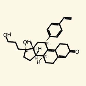 C=Cc1ccc([C@H]2C[C@]3(C)[C@@H](CC[C@@]3(O)CCCO)[C@@H]3CCC4=CC(=O)CCC4=C32)cc1